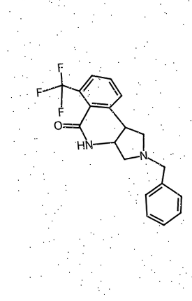 O=C1NC2CN(Cc3ccccc3)CC2c2cccc(C(F)(F)F)c21